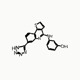 Oc1cccc(Nc2nc3cc(-c4nnn[nH]4)c#cc3c3sccc23)c1